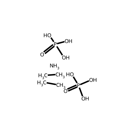 CC.CC.N.O=P(O)(O)O.O=P(O)(O)O